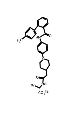 CCOC(=O)[C@@H](NC(=O)CC1CCN(c2ccc(NC(=O)c3ccccc3-c3ccc(C(F)(F)F)cc3)cc2)CC1)C(C)C